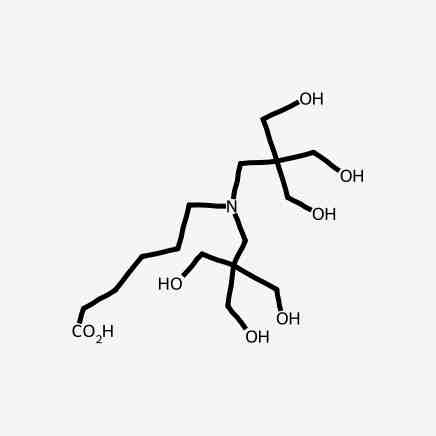 O=C(O)CCCCCN(CC(CO)(CO)CO)CC(CO)(CO)CO